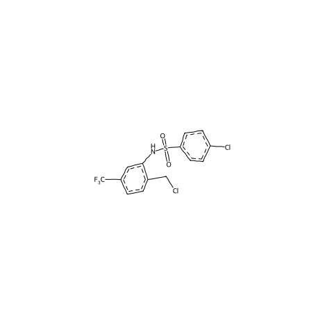 O=S(=O)(Nc1cc(C(F)(F)F)ccc1CCl)c1ccc(Cl)cc1